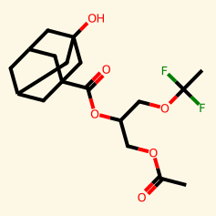 CC(=O)OCC(COC(C)(F)F)OC(=O)C12CC3CC(CC(O)(C3)C1)C2